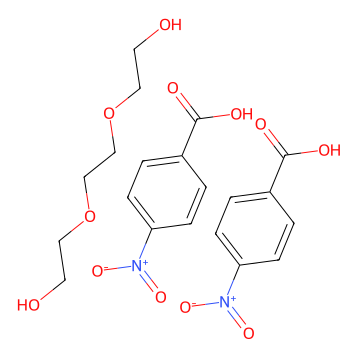 O=C(O)c1ccc([N+](=O)[O-])cc1.O=C(O)c1ccc([N+](=O)[O-])cc1.OCCOCCOCCO